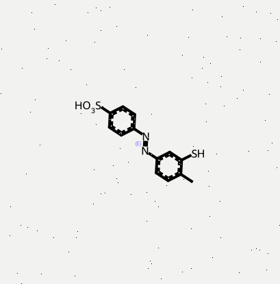 Cc1ccc(/N=N/c2ccc(S(=O)(=O)O)cc2)cc1S